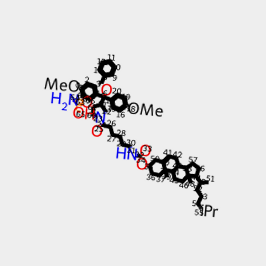 COc1ccc(C(OCc2ccccc2)(c2ccc(OC)cc2)C2CN(C(=O)CCCCCNC(=O)OC3CCC4(C)C(=CCC5C4CCC4(C)C(C(C)CCCC(C)C)CCC54)C3)CC2OP(N)O)cc1